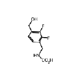 O=C(O)NCc1ccc(CO)c(F)c1F